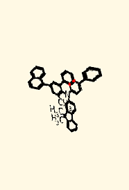 Cc1cc(-c2cccc3ccccc23)cc(-c2ccccc2)c1N(c1ccc(-c2ccccc2)cc1)c1ccc2c(c1)C(C)(C)c1ccccc1-2